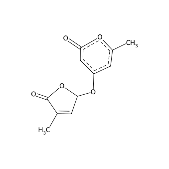 CC1=CC(Oc2cc(C)oc(=O)c2)OC1=O